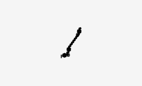 C=Cc1ccc(COCCCCCCCCCCCCc2ccc(C=CC(=O)c3ccc(F)cc3)cc2)cc1